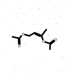 CC(=O)OC/C=C(/C)OC(C)=O